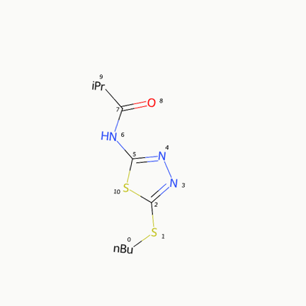 CCCCSc1nnc(NC(=O)C(C)C)s1